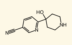 N#Cc1ccc(C2(O)CCNCC2)nc1